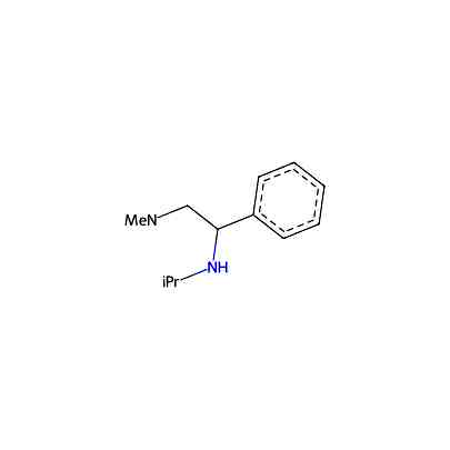 CNCC(NC(C)C)c1ccccc1